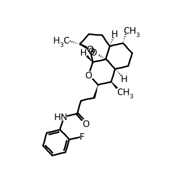 C[C@H]1[C@@H](CCC(=O)Nc2ccccc2F)O[C@@H]2O[C@]3(C)CC[C@H]4[C@H](C)CC[C@@H]1[C@@]24OO3